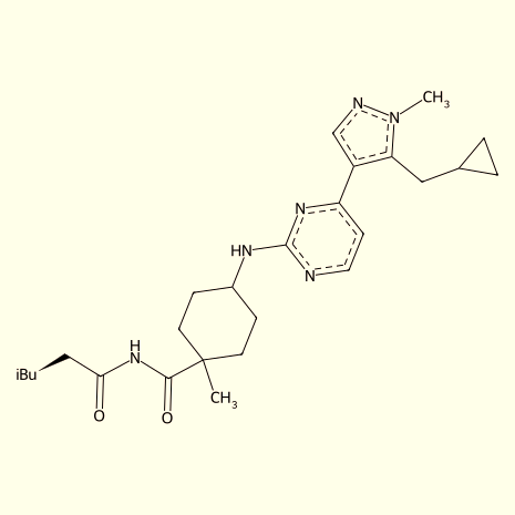 CC[C@H](C)CC(=O)NC(=O)C1(C)CCC(Nc2nccc(-c3cnn(C)c3CC3CC3)n2)CC1